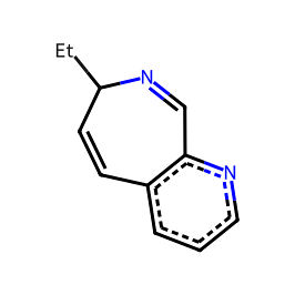 CCC1C=Cc2cccnc2C=N1